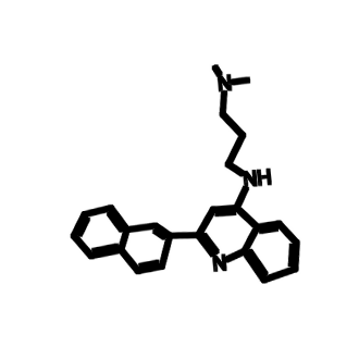 CN(C)CCCNc1cc(-c2ccc3ccccc3c2)nc2ccccc12